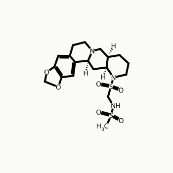 CS(=O)(=O)NCS(=O)(=O)N1CCC[C@@H]2CN3CCc4cc5c(cc4[C@@H]3C[C@@H]21)OCO5